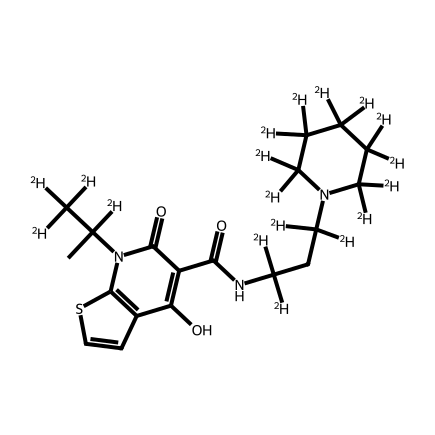 [2H]C([2H])(CC([2H])([2H])N1C([2H])([2H])C([2H])([2H])C([2H])([2H])C([2H])([2H])C1([2H])[2H])NC(=O)c1c(O)c2ccsc2n(C([2H])(C)C([2H])([2H])[2H])c1=O